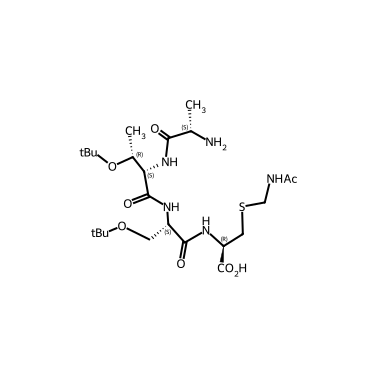 CC(=O)NCSC[C@H](NC(=O)[C@H](COC(C)(C)C)NC(=O)[C@@H](NC(=O)[C@H](C)N)[C@@H](C)OC(C)(C)C)C(=O)O